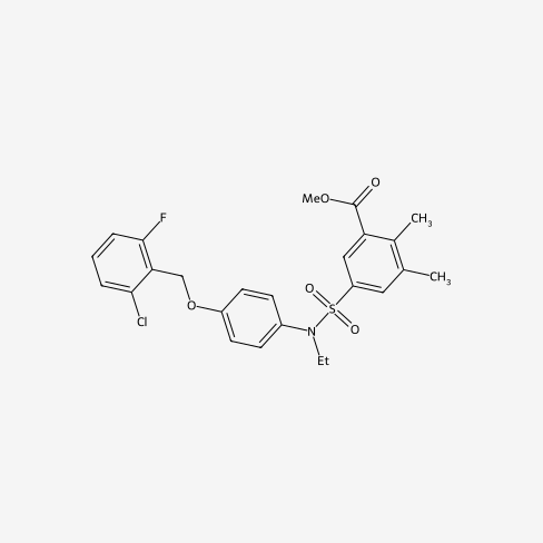 CCN(c1ccc(OCc2c(F)cccc2Cl)cc1)S(=O)(=O)c1cc(C)c(C)c(C(=O)OC)c1